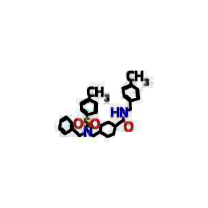 Cc1ccc(CNC(=O)C2CCC(CN(Cc3ccccc3)S(=O)(=O)c3ccc(C)cc3)CC2)cc1